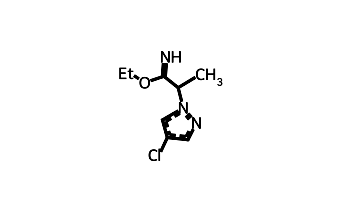 CCOC(=N)C(C)n1cc(Cl)cn1